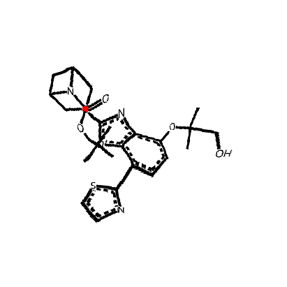 CC(C)(C)OC(=O)N1C2CC1CN(c1nc3c(OC(C)(C)CO)ccc(-c4nccs4)c3o1)C2